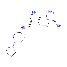 N=C/C(=C\NC1CCN(C2CCCC2)CC1)c1cnc(C=N)c(N)c1